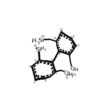 Oc1cccc([SiH3])c1-c1c(O)cccc1[SiH3]